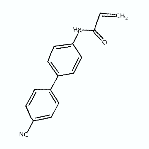 C=CC(=O)Nc1ccc(-c2ccc(C#N)cc2)cc1